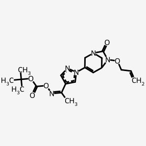 C=CCON1C(=O)N2CC(n3cc(/C(C)=N\OC(=O)OC(C)(C)C)cn3)=CC1C2